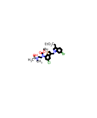 CCOC(=O)Cc1cn(Cc2csc3c(N(CCN(C)B(C)O)C(=O)OC(C)(C)C)cc(Cl)cc23)c2cc(Br)ccc12